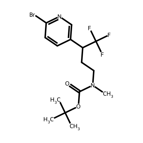 CN(CCC(c1ccc(Br)nc1)C(F)(F)F)C(=O)OC(C)(C)C